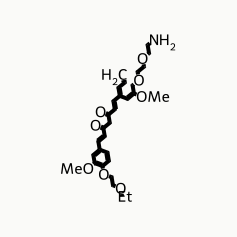 C=C/C=C(/C=C/C(=O)CC(=O)/C=C/c1ccc(OCCOCC)c(OC)c1)\C=C(/COCCOCCN)OC